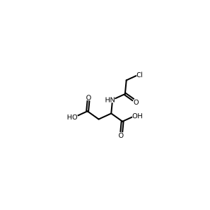 O=C(O)CC(NC(=O)CCl)C(=O)O